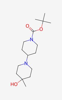 CC1(O)CCN(C2CCN(C(=O)OC(C)(C)C)CC2)CC1